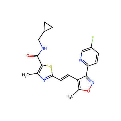 Cc1nc(/C=C/c2c(-c3ccc(F)cn3)noc2C)sc1C(=O)NCC1CC1